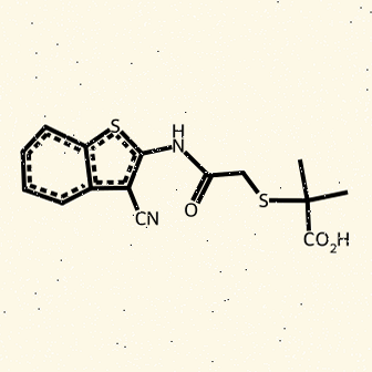 CC(C)(SCC(=O)Nc1sc2ccccc2c1C#N)C(=O)O